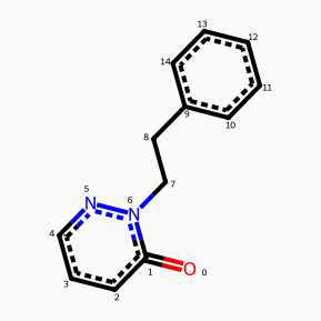 O=c1cc[c]nn1CCc1ccccc1